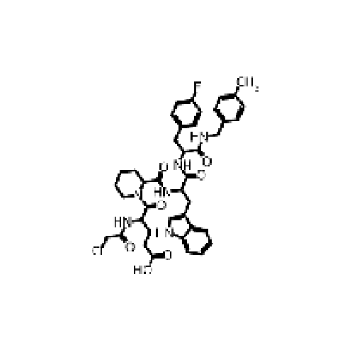 Cc1ccc(CNC(=O)C(Cc2ccc(F)cc2)NC(=O)C(Cc2c[nH]c3ccccc23)NC(=O)C2CCCCN2C(=O)C(CCC(=O)O)NC(=O)CCl)cc1